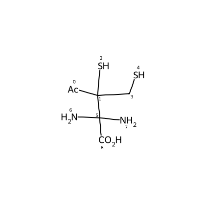 CC(=O)C(S)(CS)C(N)(N)C(=O)O